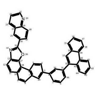 c1cc(-c2ccc3c(ccc4ccc5nc(-c6ccc7ncccc7c6)oc5c43)c2)cc(-c2cc3ccccc3c3ccccc23)c1